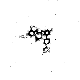 COCC(=O)N1CCC(c2cc(F)cc3cc(-c4nn5cc(C(=O)O)cc(OC)c5c4C)n(CC4CC4)c23)CC1